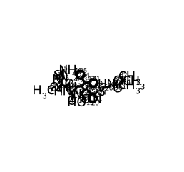 CON=C(C(=O)N[C@@H]1C(=O)N2C(C(=O)O)=C(Sc3cccnc3CSCCNC(=O)OC(C)(C)C)C(C(c3ccccc3)c3ccccc3)C[C@H]12)c1nsc(N)n1